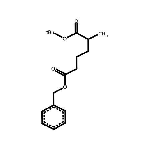 CC(CCCC(=O)OCc1ccccc1)C(=O)OC(C)(C)C